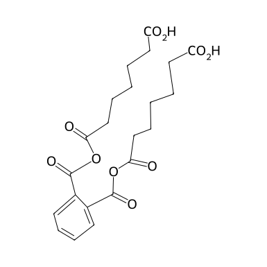 O=C(O)CCCCCC(=O)OC(=O)c1ccccc1C(=O)OC(=O)CCCCCC(=O)O